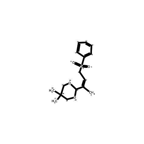 CC(=CCS(=O)(=O)c1ccccc1)C1OCC(C)(C)CO1